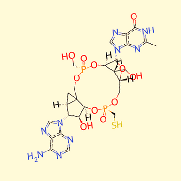 Cc1nc2c(ncn2[C@@H]2O[C@@H]3CO[P@@](=O)(CS)O[C@H]4[C@@H](O)[C@H](n5cnc6c(N)ncnc65)[C@H]5CC54CO[P@](=O)(CO)O[C@@H]2[C@@H]3CO)c(=O)[nH]1